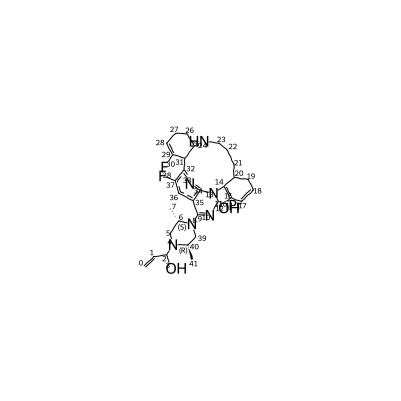 C=CC(O)N1C[C@H](C)N(C2=NC(O)N3C4=C(C(C)C)C=CCC4CCCNC4CCC=C(F)C4c4nc3c2cc4F)C[C@H]1C